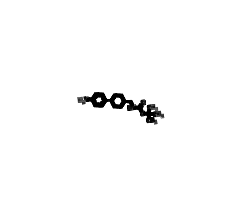 CC(C)(C)OC(=O)NC[C@H]1CC[C@H](c2ccc(N)cc2)CC1